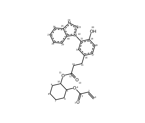 C=CC(=O)OC1CCCCC1OC(=O)CCc1ccc(O)c(-n2nnc3ccccc32)c1